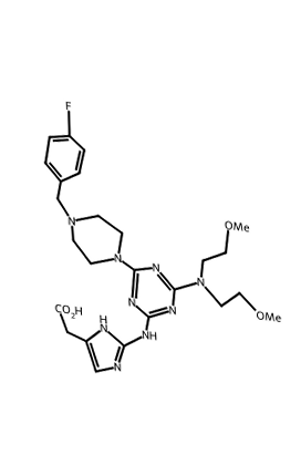 COCCN(CCOC)c1nc(Nc2ncc(CC(=O)O)[nH]2)nc(N2CCN(Cc3ccc(F)cc3)CC2)n1